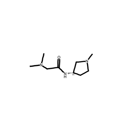 CN(C)CC(=O)N[C@H]1CCN(C)C1